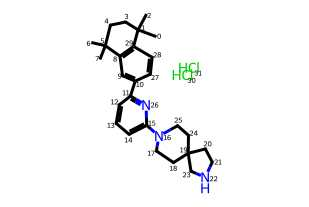 CC1(C)CCC(C)(C)c2cc(-c3cccc(N4CCC5(CCNC5)CC4)n3)ccc21.Cl.Cl